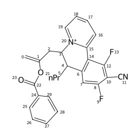 C=C(CC1C(CCC)c2cc(F)c(C#N)c(F)c2-c2cccc[n+]21)OC(=O)c1ccccc1